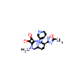 CN(Cc1ccc(-c2noc(C(F)(F)F)n2)cn1)c1c(Nc2cccnc2)c(=O)c1=O